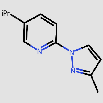 Cc1ccn(-c2ccc(C(C)C)cn2)n1